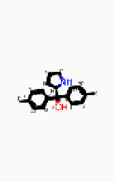 Cc1ccc(C(O)(c2ccc(C)cc2)[C@H]2CCCN2)cc1